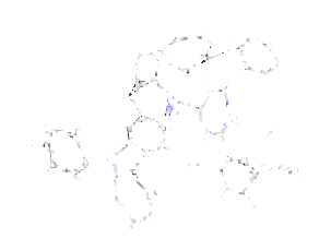 Bc1c(B)c(B)c(-c2nc(-c3ccccc3-c3ccccc3)nc(-n3c4ccccc4c4cc5c(cc43)c3ccccc3n5-c3ccccc3)n2)c(B)c1B